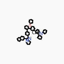 CC1(c2ccc3c(c2)c2ccccc2n3-c2ccccc2)C=CC2=C(C1)c1c(cccc1-c1ccc(-c3nc4ccccn4c3-c3ccc4ccccc4c3)cc1)B2c1ccccc1